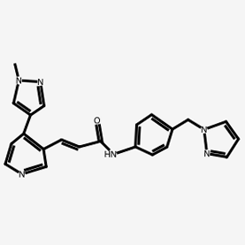 Cn1cc(-c2ccncc2C=CC(=O)Nc2ccc(Cn3cccn3)cc2)cn1